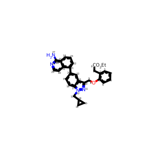 CCOC(=O)Cc1ccccc1OCc1nn(CC2CC2)c2ccc(-c3cccc4c(N)nccc34)cc12